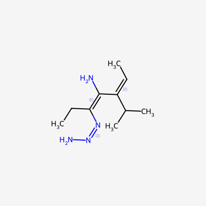 C\C=C(/C(N)=C(CC)\N=N/N)C(C)C